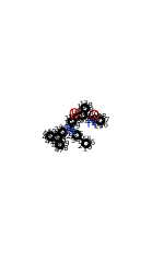 c1ccc(-c2ccc(N(c3ccc4oc5c6ccccc6c(-c6nc7ccccc7o6)cc5c4c3)c3ccc4c5ccccc5c5ccccc5c4c3)cc2)cc1